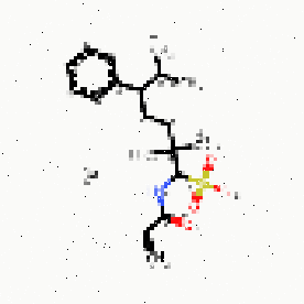 C=CC(=O)NC(C(C)(C)CCC(c1ccccc1)C(C)C)S(=O)(=O)[O-].[Na+]